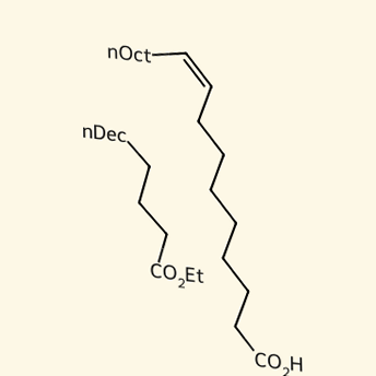 CCCCCCCC/C=C\CCCCCCCC(=O)O.CCCCCCCCCCCCCC(=O)OCC